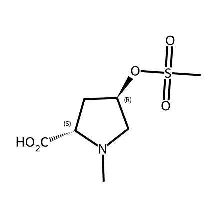 CN1C[C@H](OS(C)(=O)=O)C[C@H]1C(=O)O